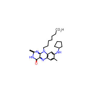 C=c1nc2c(c(=O)[nH]1)=Nc1cc(C)c(NC3CCCC3)cc1N2CCCCCCC(=O)O